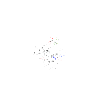 CC(C)(C)[Si](Oc1ccc2c(c1)[C@H](N1CC[C@]3(CCCN3)C1=O)CCC2)(c1ccccc1)c1ccccc1.O=C(O)C(F)(F)F